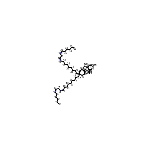 CCCCC/C=C\C/C=C\CCCCCCCCC1(CCCCCCCC/C=C\C/C=C\CCCCC)CCC2(CC1)O[C@H]1CN(C)C[C@@H]1O2